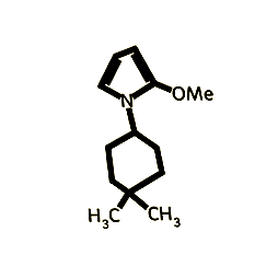 COc1cccn1C1CCC(C)(C)CC1